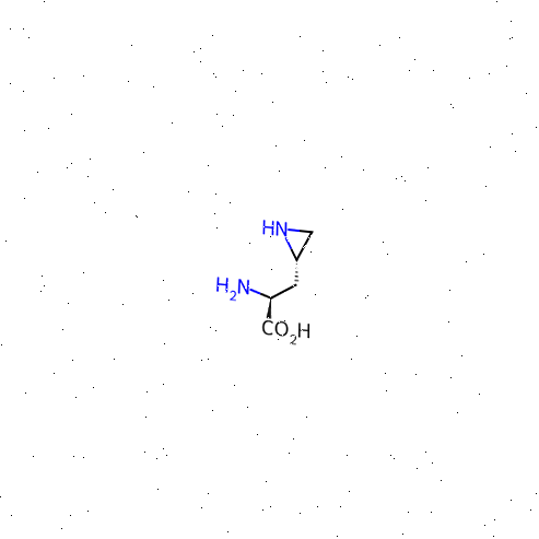 N[C@@H](C[C@H]1CN1)C(=O)O